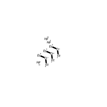 CCOCC.CCOCC.CCOCC.F.F.F